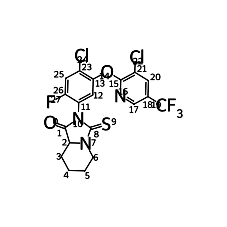 O=C1C2CCCCN2C(=S)N1c1cc(Oc2ncc(C(F)(F)F)cc2Cl)c(Cl)cc1F